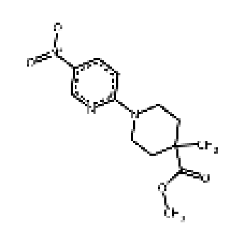 COC(=O)C1(C)CCN(c2ccc([N+](=O)[O-])cn2)CC1